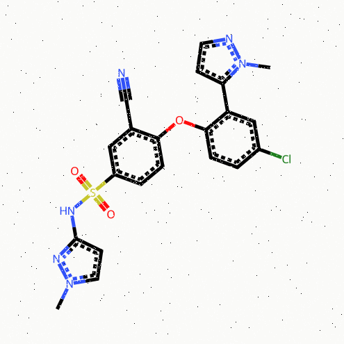 Cn1ccc(NS(=O)(=O)c2ccc(Oc3ccc(Cl)cc3-c3ccnn3C)c(C#N)c2)n1